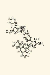 CC(c1cc2ccccc2s1)N(O)C(N)=O.CC1Cc2cccc3cc4c(ccc5ccccc54)c1c23.CS(=O)(=O)Nc1ccc([N+](=O)[O-])cc1Oc1ccccc1